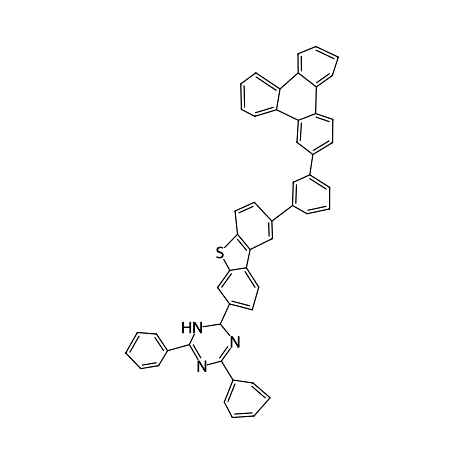 c1ccc(C2=NC(c3ccc4c(c3)sc3ccc(-c5cccc(-c6ccc7c8ccccc8c8ccccc8c7c6)c5)cc34)NC(c3ccccc3)=N2)cc1